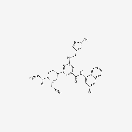 C=CC(=O)N1CCN(c2cc(C(=O)Nc3cc(O)cc4ccccc34)nc(NCc3cnn(C)c3)n2)C[C@@H]1CC#N